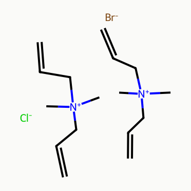 C=CC[N+](C)(C)CC=C.C=CC[N+](C)(C)CC=C.[Br-].[Cl-]